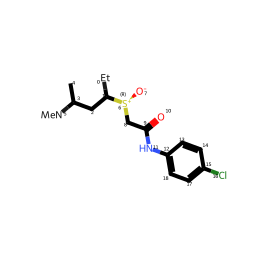 CCC(CC(C)NC)[S@@+]([O-])CC(=O)Nc1ccc(Cl)cc1